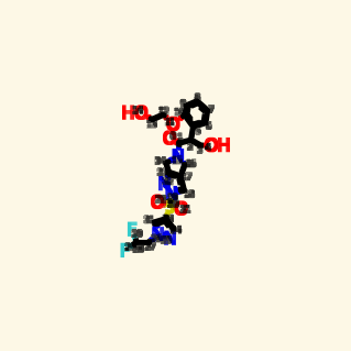 O=C(C(CO)c1ccccc1OCCO)N1Cc2cn(S(=O)(=O)c3cnn(CC(F)F)c3)nc2C1